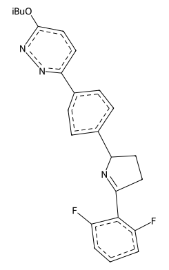 CC(C)COc1ccc(-c2ccc(C3CCC(c4c(F)cccc4F)=N3)cc2)nn1